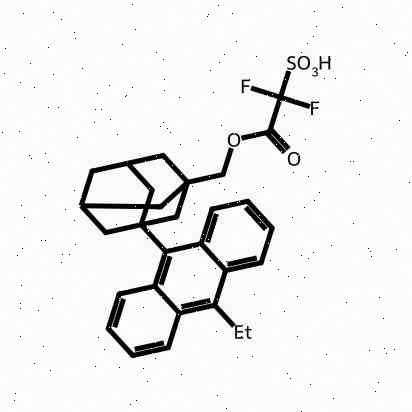 CCc1c2ccccc2c(C23CC4CC(CC(COC(=O)C(F)(F)S(=O)(=O)O)(C4)C2)C3)c2ccccc12